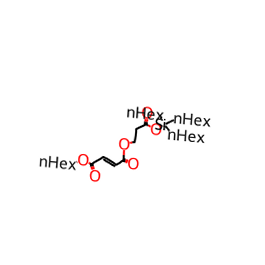 CCCCCCOC(=O)C=CC(=O)OCCC(=O)O[Si](CCCCCC)(CCCCCC)CCCCCC